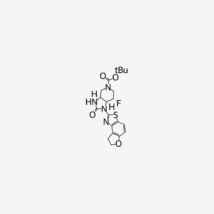 CC(C)(C)OC(=O)N1C[C@@H]2NC(=O)N(c3nc4c5c(ccc4s3)OCC5)[C@@H]2[C@@H](F)C1